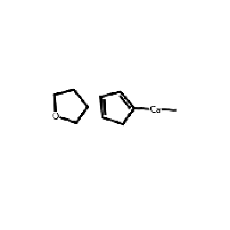 C1CCOC1.[CH3][Ca][C]1=CC=CC1